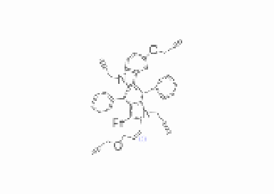 C#CCOC/C=C\c1c(CC)c2c(-c3ccccc3)c3c(c(-c4ccccc4)c2n1CC#C)c1cc(OCC#C)ccc1n3CC#C